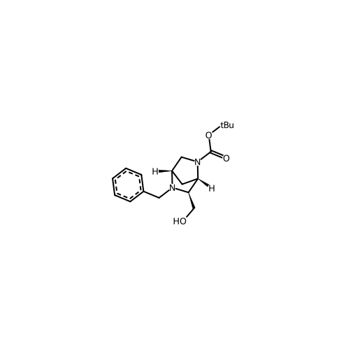 CC(C)(C)OC(=O)N1C[C@@H]2C[C@H]1[C@@H](CO)N2Cc1ccccc1